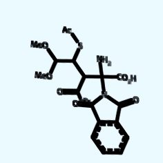 CCCC(=O)C(C(SC(C)=O)C(OC)OC)C(N)(C(=O)O)N1C(=O)c2ccccc2C1=O